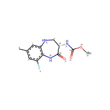 Cc1cc(F)c2c(c1)NC[C@H](NC(=O)OC(C)(C)C)C(=O)N2